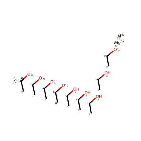 CCO.CCO.CCO.CCO.CC[O-].CC[O-].CC[O-].CC[O-].CC[O-].[Al+3].[Mg+2].[SiH4]